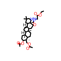 CCOC(=O)CNC(=O)[C@]12CCC(C)(C)C[C@@H]1C1=CC[C@@H]3[C@@]4(C)CC[C@H](OC(C)=O)[C@](C)(COC(C)=O)C4CC[C@@]3(C)[C@]1(C)CC2